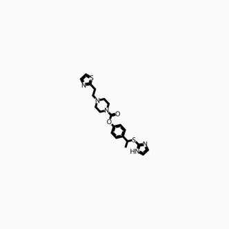 CC(Sc1ncc[nH]1)c1ccc(OC(=O)N2CCN(CCc3nccs3)CC2)cc1